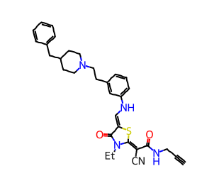 C#CCNC(=O)C(C#N)=c1sc(=CNc2cccc(CCN3CCC(Cc4ccccc4)CC3)c2)c(=O)n1CC